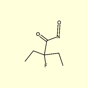 CCC(F)(CC)C(=O)N=O